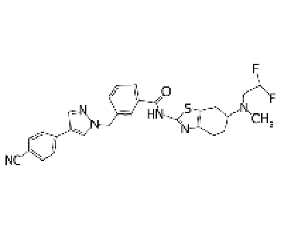 CN(CC(F)F)C1CCc2nc(NC(=O)c3cccc(Cn4cc(-c5ccc(C#N)cc5)cn4)c3)sc2C1